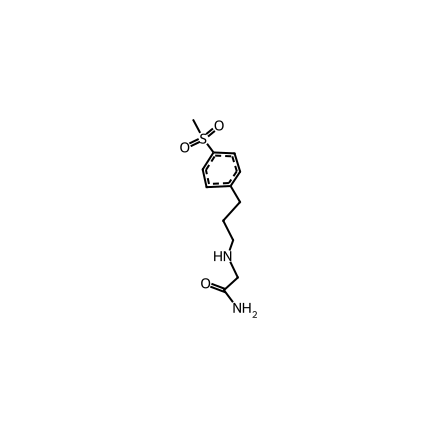 CS(=O)(=O)c1ccc(CCCNCC(N)=O)cc1